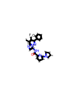 Cc1c(-c2ccccc2C(F)(F)F)nn2c(NC(=O)c3cccc(N4CCCC4)n3)cnc2c1C